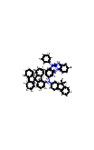 CC1(C)c2ccccc2-c2ccc(N(c3ccc4c(c3)n3c5ccccc5nc3n4-c3ccccc3)c3cccc4c3-c3ccccc3C43c4ccccc4-c4ccccc43)cc21